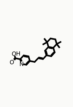 CC1(C)CCC(C)(C)c2cc(C=CCc3ccc(C(=O)O)nc3)ccc21